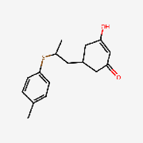 Cc1ccc(SC(C)CC2CC(=O)C=C(O)C2)cc1